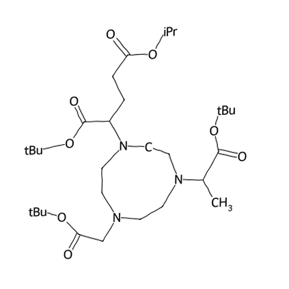 CC(C)OC(=O)CCC(C(=O)OC(C)(C)C)N1CCN(CC(=O)OC(C)(C)C)CCN(C(C)C(=O)OC(C)(C)C)CC1